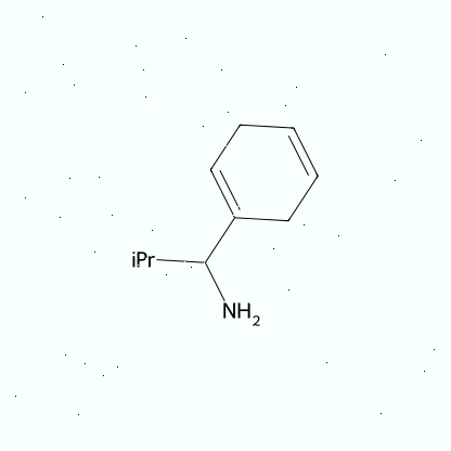 CC(C)C(N)C1=CCC=CC1